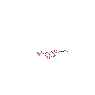 CCCCCOc1ccc2c(c1)C=C(C(C)Br)CO2